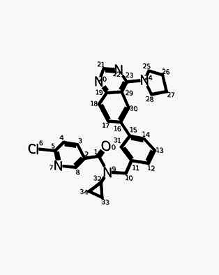 O=C(c1ccc(Cl)nc1)N(Cc1cccc(-c2ccc3ncnc(N4CCCC4)c3c2)c1)C1CC1